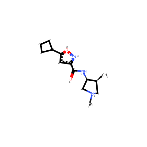 CC(C)N1C[C@H](C)[C@H](NC(=O)c2cc(C3CCC3)on2)C1